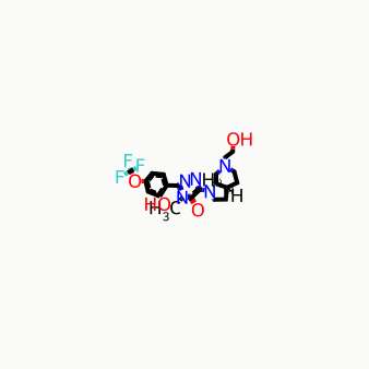 Cn1c(-c2ccc(OC(F)(F)F)cc2O)nnc(N2CC[C@@H]3CCN(CCO)C[C@@H]32)c1=O